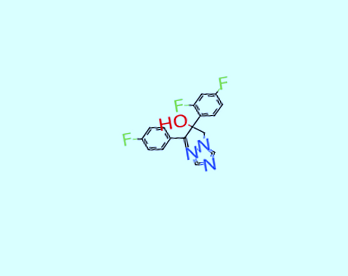 C=C(c1ccc(F)cc1)C(O)(Cn1cncn1)c1ccc(F)cc1F